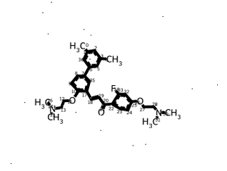 Cc1cc(C)cc(-c2ccc(OCCN(C)C)c(C=CC(=O)c3ccc(OCCN(C)C)cc3F)c2)c1